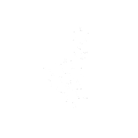 N#Cc1cnc2c(F)cc(N[C@H](C3=CN(C4CCNCC4)NN3)c3ccc(Cl)cc3)cc2c1Nc1ccc(F)c(Cl)c1